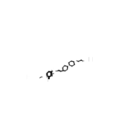 CCCCC[C@H]1CC[C@H](C2CCC(/C=C/COc3ccc(OCCC)c(F)c3F)CC2)CC1